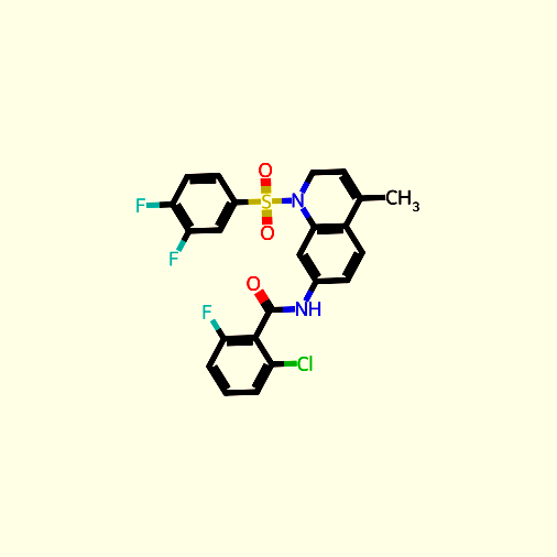 CC1=CCN(S(=O)(=O)c2ccc(F)c(F)c2)c2cc(NC(=O)c3c(F)cccc3Cl)ccc21